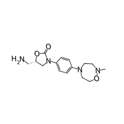 CN1CCN(c2ccc(N3C[C@H](CN)OC3=O)cc2)CCO1